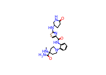 CNC1(C(N)=O)CCN(c2ccccc2NC(=O)c2csc(N[C@@H]3CCC(=O)NC3)n2)CC1